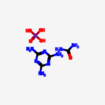 NC(N)=O.Nc1nc(N)nc(N)n1.O=P(O)(O)O